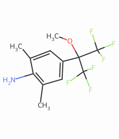 COC(c1cc(C)c(N)c(C)c1)(C(F)(F)F)C(F)(F)F